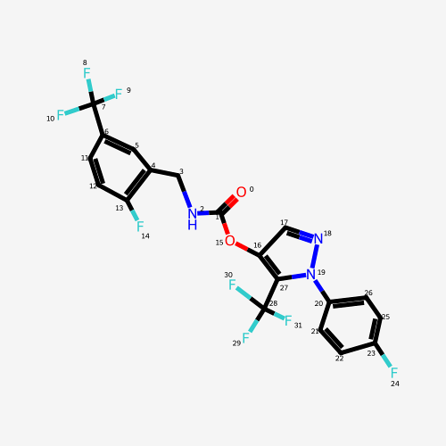 O=C(NCc1cc(C(F)(F)F)ccc1F)Oc1cnn(-c2ccc(F)cc2)c1C(F)(F)F